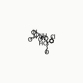 COCCCCC(O)(c1cccc(Cl)c1)C1CCCN(C(=O)NC(CNCCOC)CC2CCCCC2)C1